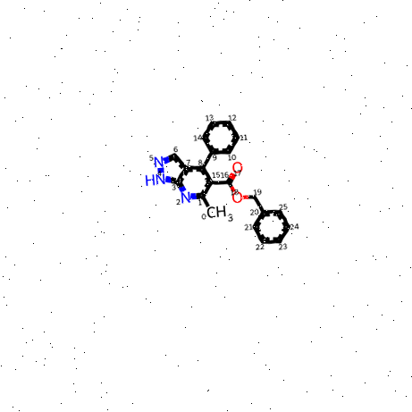 Cc1nc2[nH]ncc2c(-c2ccccc2)c1C(=O)OCc1ccccc1